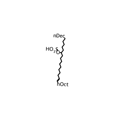 CCCCCCCCC=CCCCCCCCCC(CCCCCCCCCCCCCCC)OS(=O)(=O)O